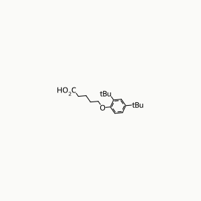 CC(C)(C)c1ccc(OCCCCC(=O)O)c(C(C)(C)C)c1